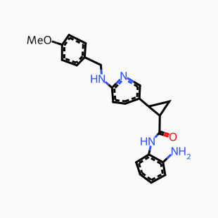 COc1ccc(CNc2ccc(C3CC3C(=O)Nc3ccccc3N)cn2)cc1